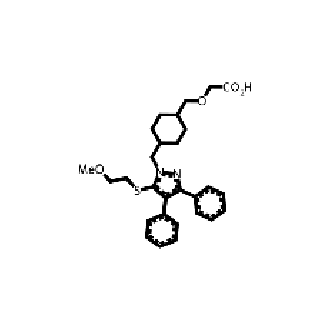 COCCSc1c(-c2ccccc2)c(-c2ccccc2)nn1CC1CCC(COCC(=O)O)CC1